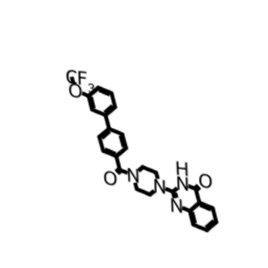 O=C(c1ccc(-c2cccc(OC(F)(F)F)c2)cc1)N1CCN(c2nc3ccccc3c(=O)[nH]2)CC1